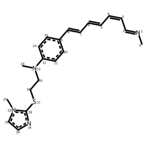 C/N=C/C=C\C=C\C=C\c1ccc(N(C)CCSc2nccn2C)cc1